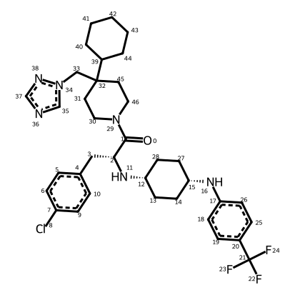 O=C([C@@H](Cc1ccc(Cl)cc1)N[C@H]1CC[C@@H](Nc2ccc(C(F)(F)F)cc2)CC1)N1CCC(Cn2cncn2)(C2CCCCC2)CC1